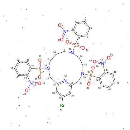 O=[N+]([O-])c1ccccc1S(=O)(=O)N1CCCN(S(=O)(=O)c2ccccc2[N+](=O)[O-])Cc2cc(Br)cc(n2)CN(S(=O)(=O)c2ccccc2[N+](=O)[O-])CC1